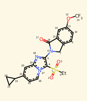 CCS(=O)(=O)c1c(N2Cc3ccc(OC(F)(F)F)cc3C2=O)nc2cc(C3CC3)ccn12